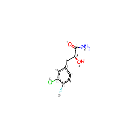 NC(=O)[C@@H](O)[CH]c1ccc(F)c(Cl)c1